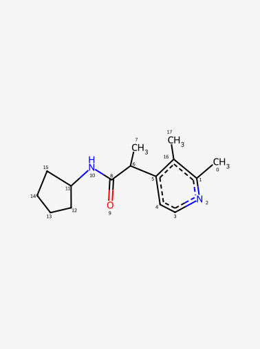 Cc1nccc(C(C)C(=O)NC2CCCC2)c1C